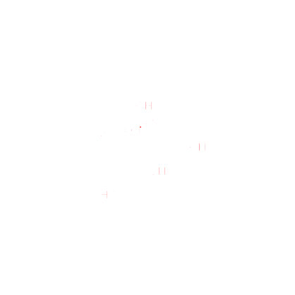 Oc1ccc(Cc2ccc(O)cc2O)c(O)c1.Oc1cccc(O)c1O